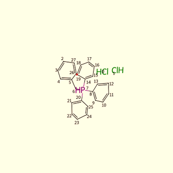 Cl.Cl.c1ccc(C[PH](c2ccccc2)(c2ccccc2)c2ccccc2)cc1